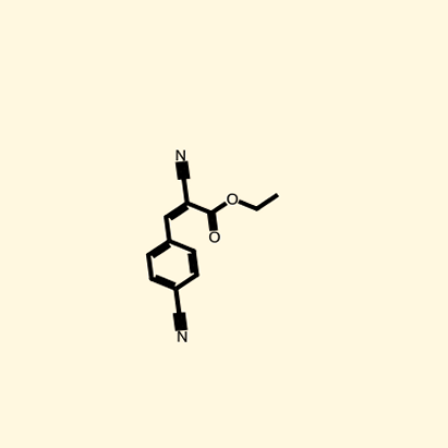 CCOC(=O)C(C#N)=Cc1ccc(C#N)cc1